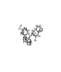 CCc1ncc(C[n+]2cc3ccoc3cc2C)c(N)n1.Cl.[Cl-]